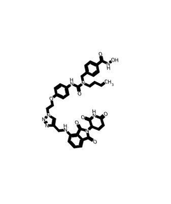 CCCCN(Cc1ccc(C(=O)NO)cc1)C(=O)Nc1ccc(OCCn2cc(CNc3cccc4c3C(=O)N(C3CCC(=O)NC3=O)C4=O)nn2)cc1